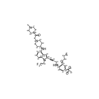 CN1CCN(C(=O)CN2CCC(Nc3cccc4c3cc(C#CCNc3ccc(S(C)(=O)=O)cc3OCCF)n4CC(F)(F)F)CC2)CC1